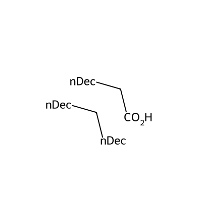 CCCCCCCCCCCC(=O)O.CCCCCCCCCCCCCCCCCCCCC